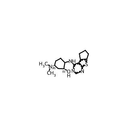 CN(C)[C@@H]1CCC(Nc2ncnc3sc4c(c23)CCC4)[C@@H](O)C1